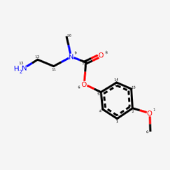 COc1ccc(OC(=O)N(C)CCN)cc1